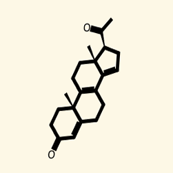 CC(=O)[C@H]1CC=C2C3=C(CC[C@@]21C)[C@@]1(C)CCC(=O)C=C1CC3